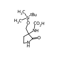 CC(C)(C)[Si](C)(C)OCC1(NC(=O)O)CCNC1=O